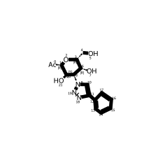 CC(=O)[C@@H]1O[C@H](CO)[C@H](O)[C@H](n2cc(-c3ccccc3)nn2)[C@H]1O